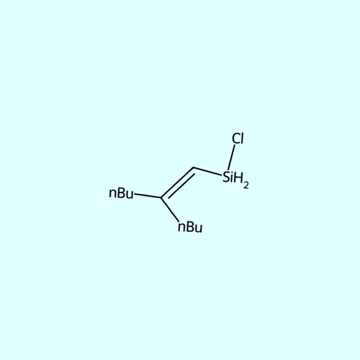 CCCCC(=C[SiH2]Cl)CCCC